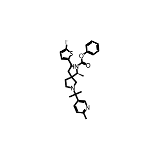 Cc1ccc(C(C)(C)N2CCC(CCc3ccc(F)s3)([C@H](C)NC(=O)Oc3ccccc3)C2)cn1